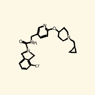 O=C(NCc1ccc(OC2CCN(CC3CC3)CC2)nc1)N1Cc2cccc(Cl)c2C1